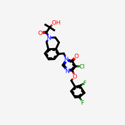 CC(C)(O)C(=O)N1CCc2c(cccc2Cn2cnc(OCc3ccc(F)cc3F)c(Cl)c2=O)C1